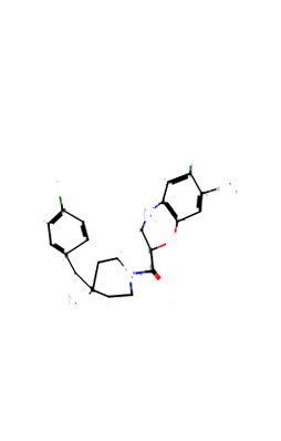 N#Cc1cc2c(cc1Cl)NCC(C(=O)N1CCC(C#N)(Cc3ccc(F)cc3)CC1)O2